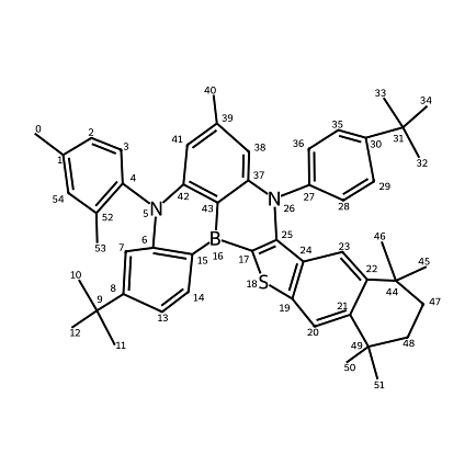 Cc1ccc(N2c3cc(C(C)(C)C)ccc3B3c4sc5cc6c(cc5c4N(c4ccc(C(C)(C)C)cc4)c4cc(C)cc2c43)C(C)(C)CCC6(C)C)c(C)c1